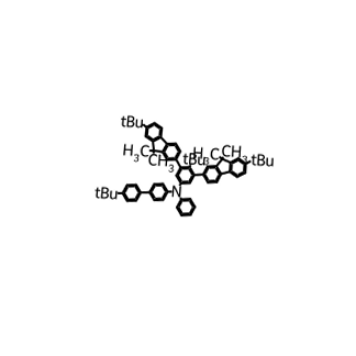 CC(C)(C)c1ccc(-c2ccc(N(c3ccccc3)c3cc(-c4ccc5c(c4)C(C)(C)c4cc(C(C)(C)C)ccc4-5)c(C(C)(C)C)c(-c4ccc5c(c4)C(C)(C)c4cc(C(C)(C)C)ccc4-5)c3)cc2)cc1